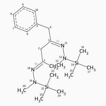 C/C(C/C(Cc1ccccc1)=N\N(C)[Si](C)(C)C)=N\N(C)[Si](C)(C)C